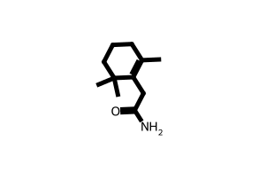 CC1=C(CC(N)=O)C(C)(C)CCC1